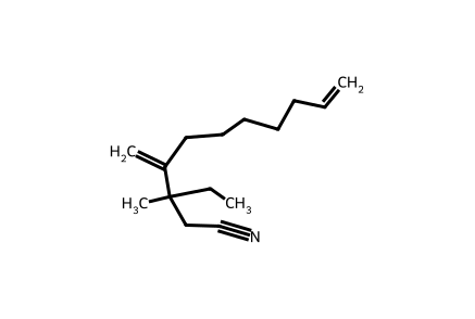 C=CCCCCCC(=C)C(C)(CC)CC#N